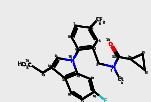 CCN(Cc1cc(C(F)(F)F)ccc1-n1cc(CC(=O)O)c2ccc(F)cc21)C(=O)C1CC1